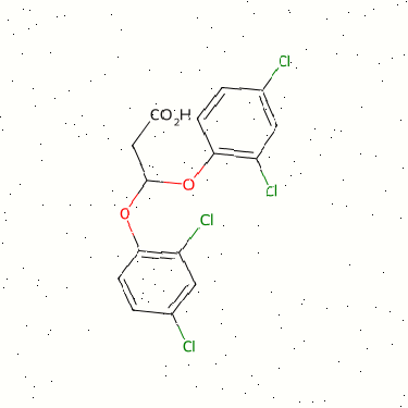 O=C(O)CC(Oc1ccc(Cl)cc1Cl)Oc1ccc(Cl)cc1Cl